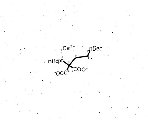 CCCCCCCCCCCCC(CCCCCCC)(C(=O)[O-])C(=O)[O-].[Ca+2]